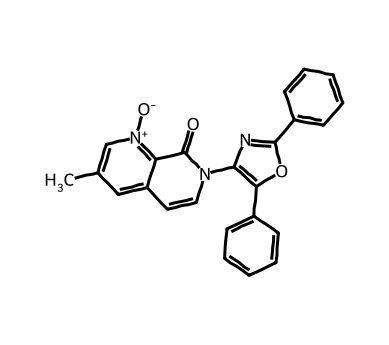 Cc1cc2ccn(-c3nc(-c4ccccc4)oc3-c3ccccc3)c(=O)c2[n+]([O-])c1